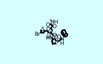 CNC(=O)C(=O)CC[C@H](NC(=O)c1cc(Br)cs1)C(=O)Nc1cccn(CC(=O)NC2C3CC4CC(C3)CC2C4)c1=O